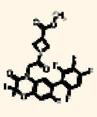 COC(=O)C1CN(C(=O)CN2C(=O)C(F)(F)Oc3cc(F)c(-c4c(F)cc(F)c(F)c4F)cc32)C1